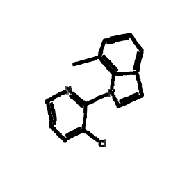 Cc1cccc2ccn(-c3ncccc3Cl)c12